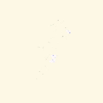 C[C@@H](c1nnc(-c2ccc(Cl)cc2)s1)[C@H]1CC[C@@H](c2ccnc3ccc(F)cc32)CC1